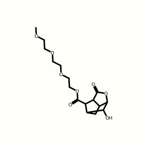 COCCOCCOCCOC(=O)C1C2CC3C(OC(=O)C31)C2O